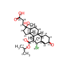 CC(C)OC(=O)C1C(Br)C2=CC(=O)CC[C@]2(C)[C@H]2CC[C@@]3(C)[C@@H](CC[C@]3(O)CCC(=O)O)[C@H]12